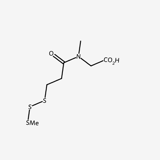 CSSSCCC(=O)N(C)CC(=O)O